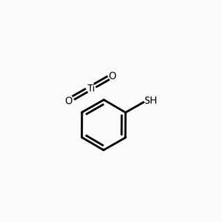 Sc1ccccc1.[O]=[Ti]=[O]